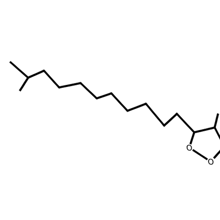 CC(C)CCCCCCCCCC1OOCC1C